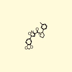 Cc1cccc(C2CCCN2C(=O)c2cc(-c3ccc4c(c3)OCO4)on2)c1